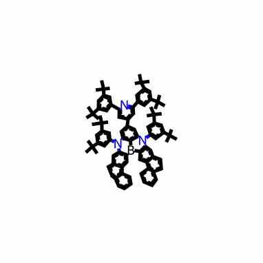 CC(C)(C)c1cc(-c2cc(-c3cc4c5c(c3)N(c3cc(C(C)(C)C)cc(C(C)(C)C)c3)c3cc6ccc7ccccc7c6cc3B5c3cc5c(ccc6ccccc65)cc3N4c3cc(C(C)(C)C)cc(C(C)(C)C)c3)cc(-c3cc(C(C)(C)C)cc(C(C)(C)C)c3)n2)cc(C(C)(C)C)c1